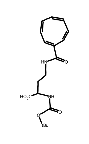 CC(C)(C)OC(=O)NC(CCNC(=O)C1=CC=CC=CC=C1)C(=O)O